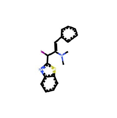 CN(C)C(=Cc1ccccc1)C(I)c1nc2ccccc2s1